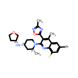 Cc1noc(-c2c(N3CC[C@@H](N[C@@H]4CCOC4)C[C@H]3C)nc3c(F)cc(C(C)C)cc3c2C)n1